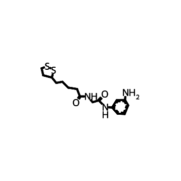 Nc1cccc(NC(=O)CNC(=O)CCCCC2CCSS2)c1